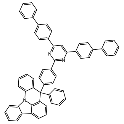 c1ccc(-c2ccc(-c3cc(-c4ccc(-c5ccccc5)cc4)nc(-c4ccc(C5(c6ccccc6)c6ccccc6-n6c7ccccc7c7cccc5c76)cc4)n3)cc2)cc1